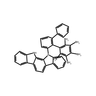 Bc1c(B)c(B)c(-c2c(-c3ccccc3)cccc2-n2c3ccccc3c3ccc4c5ccccc5[nH]c4c32)c(B)c1B